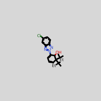 CCC(C)(C)C1(C(C)(C)CC)C=CC=C(n2nc3ccc(Cl)cc3n2)C1O